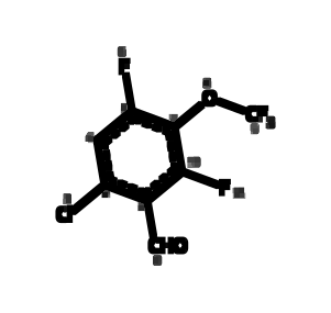 O=Cc1c(Cl)cc(F)c(OC(F)(F)F)c1F